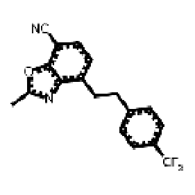 Cc1nc2c(CCc3ccc(C(F)(F)F)cc3)ccc(C#N)c2o1